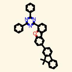 CC1(C)c2ccccc2-c2ccc(-c3ccc4oc5c(-c6nc(-c7ccccc7)nc(-c7ccccc7)n6)cccc5c4c3)cc21